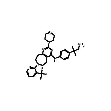 CC(C)(CN)c1ccc(Nc2nc(N3CCOCC3)nc3c2CCN(c2ncccc2C(F)(F)F)CC3)cc1